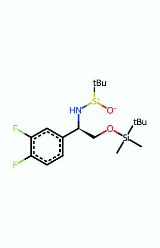 CC(C)(C)[S+]([O-])N[C@@H](CO[Si](C)(C)C(C)(C)C)c1ccc(F)c(F)c1